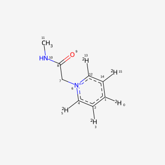 [2H]c1c([2H])c([2H])[n+](CC(=O)NC)c([2H])c1[2H]